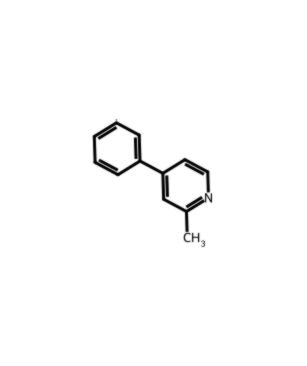 Cc1cc(-c2c[c]ccc2)ccn1